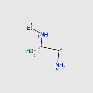 Br.CCNCCN